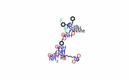 CNC(=O)N(CC[C@H](CF)NC(=O)OCc1ccc(NC(=O)[C@H](CCCNC(N)=O)NC(=O)[C@@H](NC(=O)CCCCCN2C(=O)C=CC2=O)C(C)C)cc1)[C@@H](c1nc(-c2cc(F)ccc2F)cn1Cc1ccccc1)C(C)(C)C